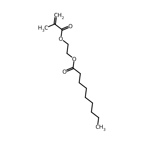 C=C(C)C(=O)OCCOC(=O)CCCCCCCC